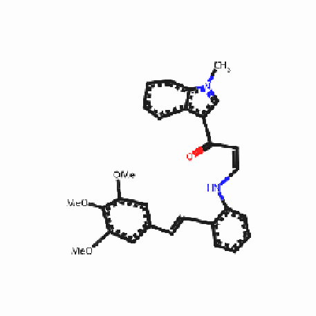 COc1cc(C=Cc2ccccc2N/C=C\C(=O)c2cn(C)c3ccccc23)cc(OC)c1OC